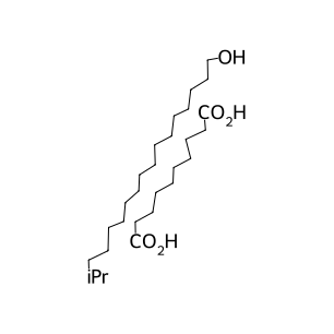 CC(C)CCCCCCCCCCCCCCCO.O=C(O)CCCCCCCCC(=O)O